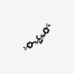 CCc1n(N=Cc2ccc(N(C)C)cc2)cc[n+]1N=Cc1ccc(N(C)C)cc1